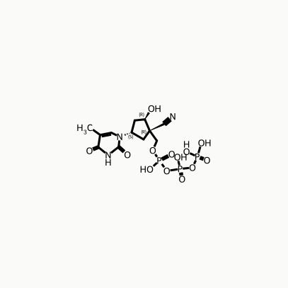 Cc1cn([C@@H]2C[C@@H](O)[C@](C#N)(COP(=O)(O)OP(=O)(O)OP(=O)(O)O)C2)c(=O)[nH]c1=O